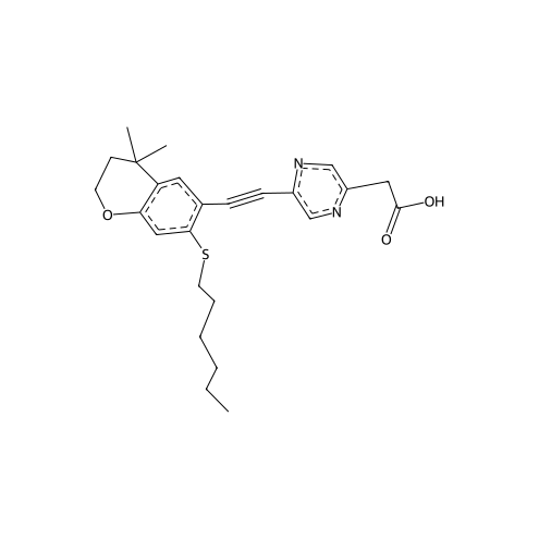 CCCCCCSc1cc2c(cc1C#Cc1cnc(CC(=O)O)cn1)C(C)(C)CCO2